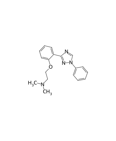 CN(C)CCOc1ccccc1-c1ncn(-c2ccccc2)n1